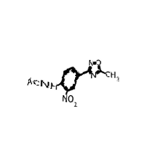 CC(=O)Nc1ccc(-c2noc(C)n2)cc1[N+](=O)[O-]